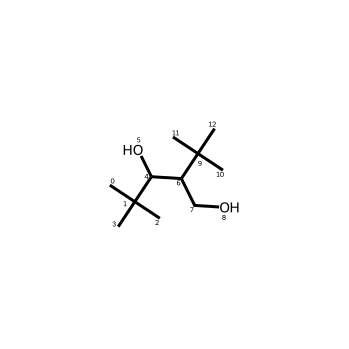 CC(C)(C)C(O)C(CO)C(C)(C)C